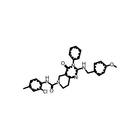 COc1ccc(CNc2nc3c(c(=O)n2-c2ccccc2)CN(C(=O)Nc2ccc(C)cc2Cl)CC3)cc1